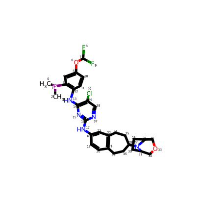 CP(C)c1cc(OC(F)F)ccc1Nc1nc(Nc2ccc3c(c2)CCC(N2C4CCC2COC4)CC3)ncc1Cl